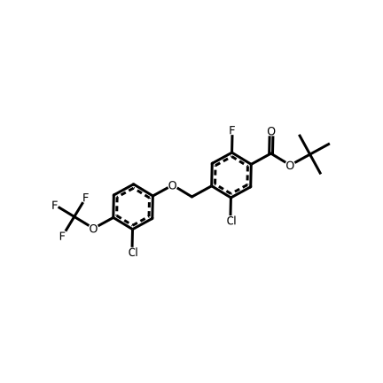 CC(C)(C)OC(=O)c1cc(Cl)c(COc2ccc(OC(F)(F)F)c(Cl)c2)cc1F